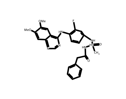 COc1cc2ncnc(Nc3ccc(N[SH](C)(=O)NC(=O)Cc4ccccc4)cc3F)c2cc1OC